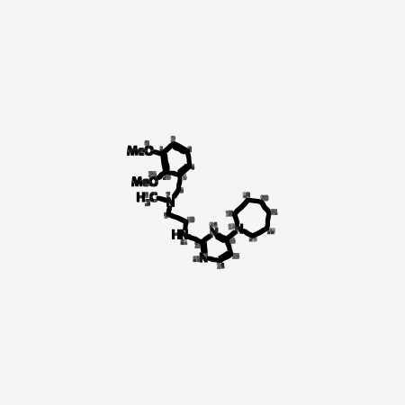 COc1cccc(CN(C)CCNc2nccc(N3CCCCCC3)n2)c1OC